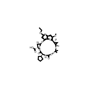 CCOc1cc2c3cc(c(OC)cc3n1)[C@H]1C[C@@H]1CC(C)(C)COC(=O)N[C@@H](C1CCCC1)C(=O)N1C[C@@H](C[C@H]1C(=O)O)O2